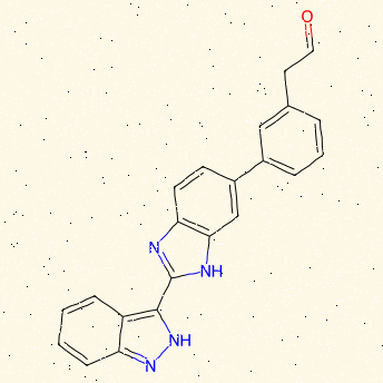 O=CCc1cccc(-c2ccc3nc(-c4[nH]nc5ccccc45)[nH]c3c2)c1